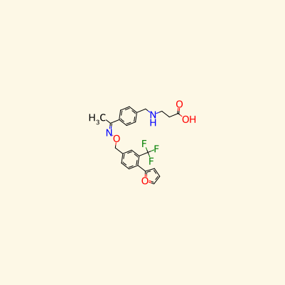 CC(=NOCc1ccc(-c2ccco2)c(C(F)(F)F)c1)c1ccc(CNCCC(=O)O)cc1